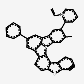 C=C[n+]1ccccc1-c1cc2c3cc(-c4ccccc4)cc4c5ccc6oc7c#cccc7c6c5n(c2cc1C)c34